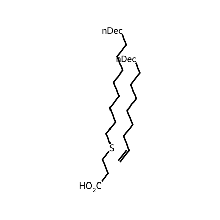 C=CCCCCCCCCCCCCCCCC.CCCCCCCCCCCCCCCCCCSCCC(=O)O